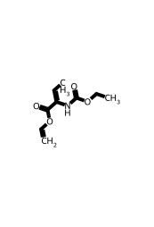 C=COC(=O)C(=CC)NC(=O)OCC